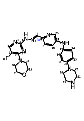 Fc1cnc(N/N=C/c2ccc(Nc3ccc(N4CCNCC4)cc3)cn2)nc1N1CCOCC1